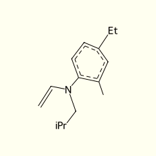 C=CN(CC(C)C)c1ccc(CC)cc1C